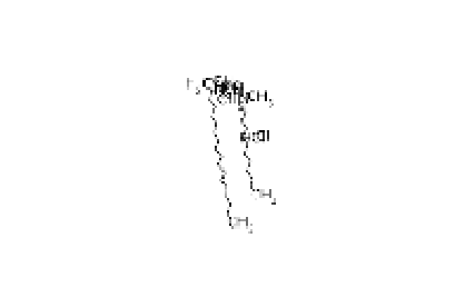 CCCCCCCCCCCCCCCCC(C)[N+](C)(C)C.CCCCCCCCCCCCN(C)C.Cl.[Cl-]